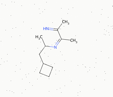 CC(=N)/C(C)=N\C(C)CC1CCC1